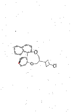 ClC1CC(C2COc3ccc4ccccc4c3-c3c(ccc4ccccc34)OC2)C1